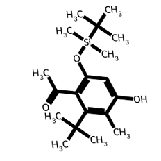 CC(=O)c1c(O[Si](C)(C)C(C)(C)C)cc(O)c(C)c1C(C)(C)C